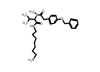 CC(C)C(C(=O)NCCCCCCCN)N(C)C(=O)Cc1ccc(OCc2ccccc2)cc1